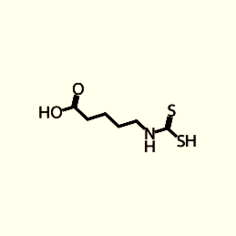 O=C(O)CCCCNC(=S)S